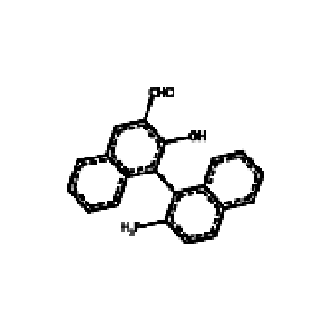 O=Cc1cc2ccccc2c(-c2c(P)ccc3ccccc23)c1O